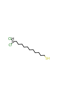 SCCCCCCCCCCC[SiH](Cl)Cl